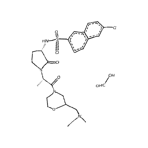 C[C@@H](C(=O)N1CCOC(CN(C)C)C1)N1CC[C@H](NS(=O)(=O)c2ccc3cc(Cl)ccc3c2)C1=O.O=CO